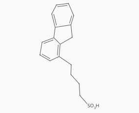 O=S(=O)(O)CCCCc1cccc2c1Cc1ccccc1-2